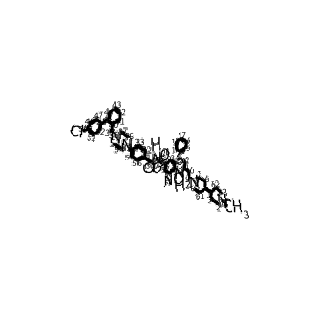 CN1CCC(C2CCN(CCC(CSc3ccccc3)Nc3ccc(S(=O)(=O)NC(=O)c4ccc(N5CCN(Cc6ccccc6-c6ccc(Cl)cc6)CC5)cc4)cc3[N+](=O)[O-])CC2)CC1